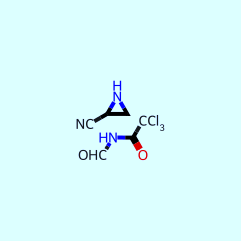 N#CC1CN1.O=CNC(=O)C(Cl)(Cl)Cl